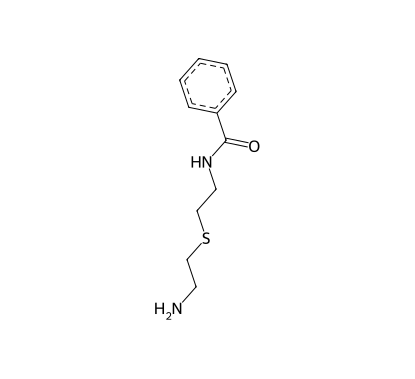 NCCSCCNC(=O)c1ccccc1